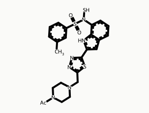 CC(=O)N1CCN(Cc2nnc(-c3cc4cccc(N(S)S(=O)(=O)c5cccc(C)c5)c4[nH]3)s2)CC1